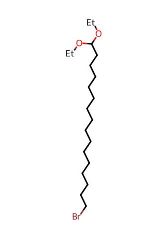 CCOC(CCCCCCCCCCCCCCCBr)OCC